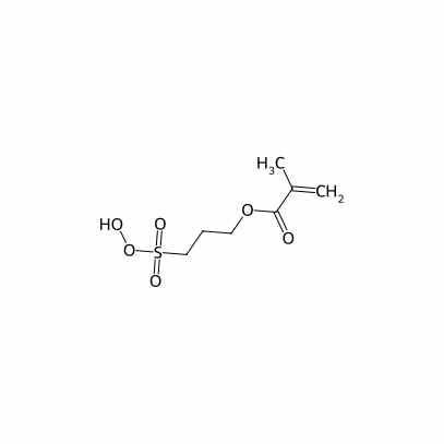 C=C(C)C(=O)OCCCS(=O)(=O)OO